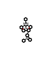 c1ccc(-c2nc(-c3ccccc3)c(-n3c4ccccc4c4c(-c5ccc6c(c5)c5ccccc5n6-c5ccccc5)cccc43)c(-c3ccccc3)n2)cc1